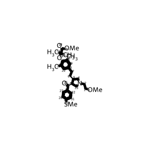 COCCN1C[C@H](CCc2cc(C)c(OC(C)(C)C(=O)OC)c(C)c2)[C@@H](C(=O)c2ccc(SC)cc2)C1